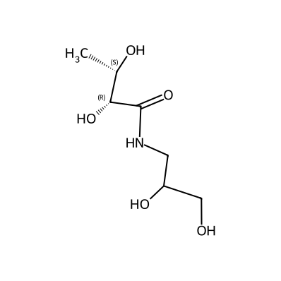 C[C@H](O)[C@@H](O)C(=O)NCC(O)CO